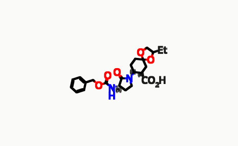 CCC1COC2(CC[C@H](N3CC[C@H](NC(=O)OCc4ccccc4)C3=O)[C@H](C(=O)O)C2)O1